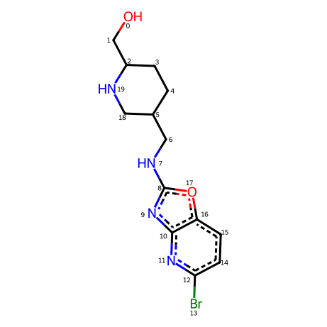 OCC1CCC(CNc2nc3nc(Br)ccc3o2)CN1